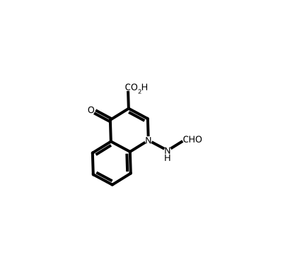 O=CNn1cc(C(=O)O)c(=O)c2ccccc21